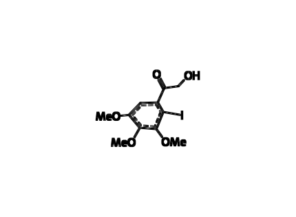 COc1cc(C(=O)CO)c(I)c(OC)c1OC